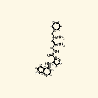 N/C(=C\N(N)Cc1ccccc1)CNC(=O)c1sccc1Nc1ccnc2[nH]ccc12